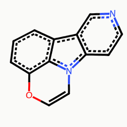 C1=Cn2c3ccncc3c3cccc(c32)O1